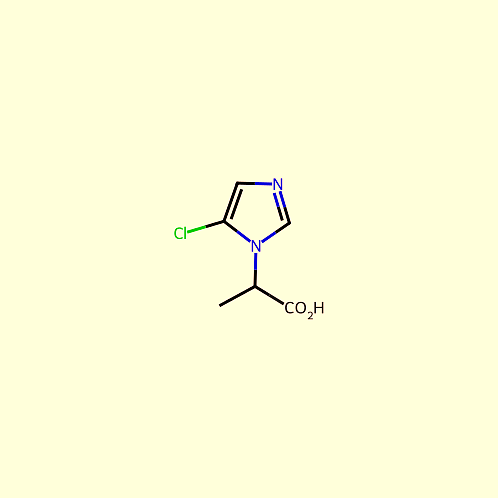 CC(C(=O)O)n1cncc1Cl